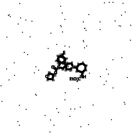 CCOC(=O)NC1CCCCC(N2CCC3(CC2)CN(C(=O)O[C@@H]2CCOC2)c2ccc(F)cc23)C1